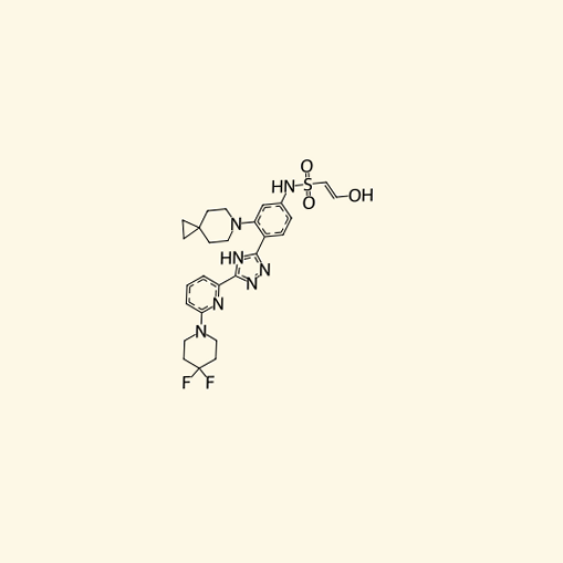 O=S(=O)(C=CO)Nc1ccc(-c2nnc(-c3cccc(N4CCC(F)(F)CC4)n3)[nH]2)c(N2CCC3(CC2)CC3)c1